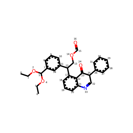 CCOC(OCC)c1cccc(C(COC=O)c2cccc3c2C(=O)C(c2ccccc2)C=N3)c1